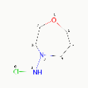 ClNN1CCCOCC1